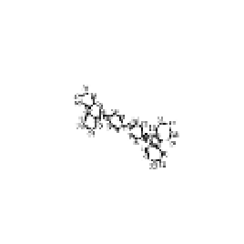 CN(c1ccc(-c2ccc(-n3c4c(c5c3CCCC=C5)CC=CC=C4)cc2)cc1)c1ccccc1-c1ccccc1